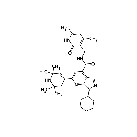 Cc1cc(C)c(CNC(=O)c2cc(C3=CC(C)(C)NC(C)(C)C3)nc3c2cnn3C2CCCCC2)c(=O)[nH]1